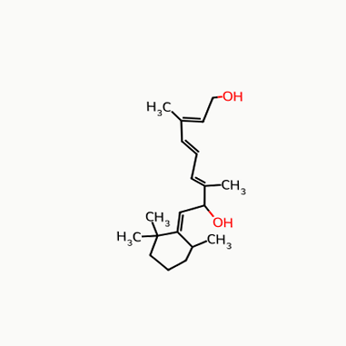 CC(C=CC=C(C)C(O)C=C1C(C)CCCC1(C)C)=CCO